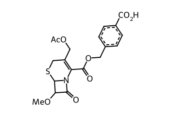 COC1C(=O)N2C(C(=O)OCc3ccc(C(=O)O)cc3)=C(COC(C)=O)CSC12